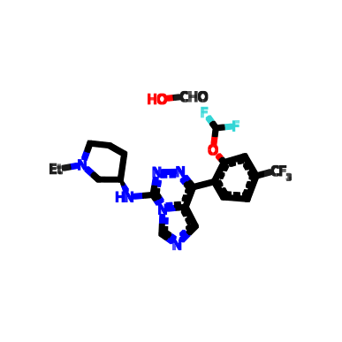 CCN1CCC[C@@H](Nc2nnc(-c3ccc(C(F)(F)F)cc3OC(F)F)c3cncn23)C1.O=CO